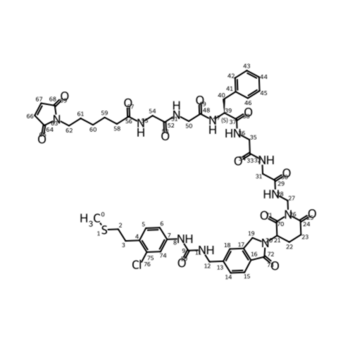 CSCCc1ccc(NC(=O)NCc2ccc3c(c2)CN(C2CCC(=O)N(CNC(=O)CNC(=O)CNC(=O)[C@H](Cc4ccccc4)NC(=O)CNC(=O)CNC(=O)CCCCCN4C(=O)C=CC4=O)C2=O)C3=O)cc1Cl